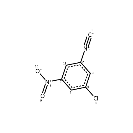 [C-]#[N+]c1cc(Cl)cc([N+](=O)[O-])c1